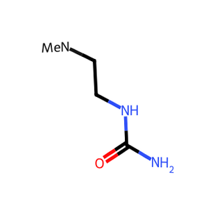 CNCCNC(N)=O